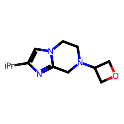 CC(C)c1cn2c(n1)CN(C1COC1)CC2